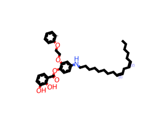 CCCCC/C=C\C/C=C\CCCCCCCCNc1ccc(OC(=O)c2cccc(O)c2O)c(OCCOc2[c]cccc2)c1